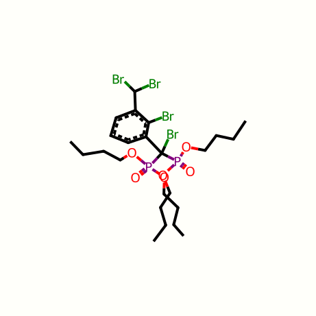 CCCCOP(=O)(OCCCC)C(Br)(c1cccc(C(Br)Br)c1Br)P(=O)(OCCCC)OCCCC